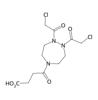 O=C(O)CCC(=O)N1CCN(C(=O)CCl)N(C(=O)CCl)CC1